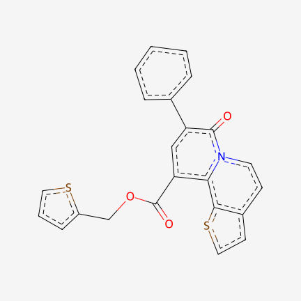 O=C(OCc1cccs1)c1cc(-c2ccccc2)c(=O)n2ccc3ccsc3c12